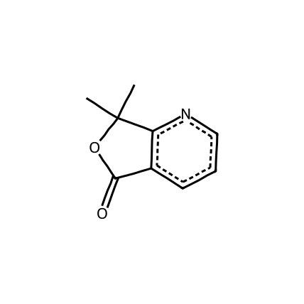 CC1(C)OC(=O)c2cccnc21